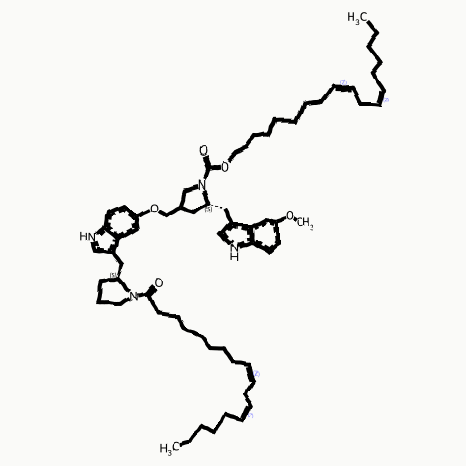 CCCCC/C=C\C/C=C\CCCCCCCCOC(=O)N1CC(COc2ccc3[nH]cc(C[C@@H]4CCCN4C(=O)CCCCCCC/C=C\C/C=C\CCCCC)c3c2)C[C@H]1Cc1c[nH]c2ccc(OC)cc12